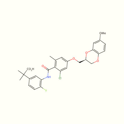 COc1ccc2c(c1)O[C@H](COc1cc(C)c(C(=O)Nc3cc(C(C)(C)C(=O)O)ccc3F)c(Cl)c1)CO2